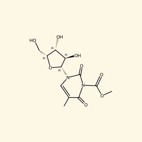 COC(=O)n1c(=O)c(C)cn([C@@H]2O[C@H](CO)[C@H](O)[C@H]2O)c1=O